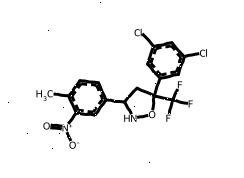 Cc1ccc(C2CC(c3cc(Cl)cc(Cl)c3)(C(F)(F)F)ON2)cc1[N+](=O)[O-]